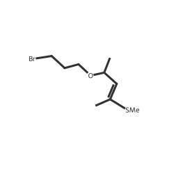 CS/C(C)=C/C(C)OCCCBr